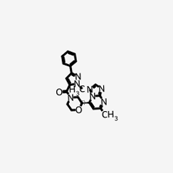 Cc1cc([C@@H]2CN(C(=O)c3cc(-c4ccccc4)nn3C)CCO2)n2ncnc2n1